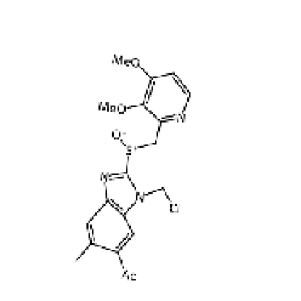 COc1ccnc(C[S+]([O-])c2nc3cc(C)c(C(C)=O)cc3n2CCl)c1OC